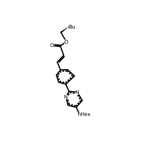 CCCCCCc1cnc(-c2ccc(C=CC(=O)OC[C@H](C)CC)cc2)nc1